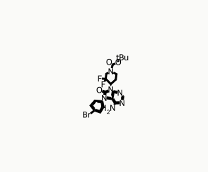 CC(C)(C)OC(=O)N1CC[C@H](n2c(=O)n(-c3ccc(Br)cc3)c3c(N)ncnc32)C(F)(F)C1